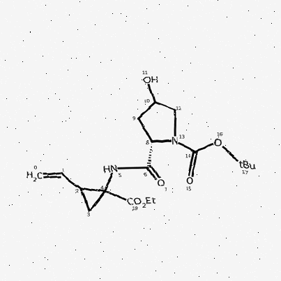 C=CC1CC1(NC(=O)[C@@H]1CC(O)CN1C(=O)OC(C)(C)C)C(=O)OCC